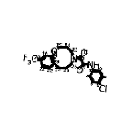 O=C(Nc1ccc(Cl)cc1)C(=O)N1CCCOc2cc(C(F)(F)F)ccc2CCC1